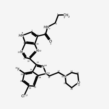 CCCNC(=O)c1c[nH]c2ncc(-c3nn(CCN4CCOCC4)c4cc(Cl)cc(F)c34)nc12